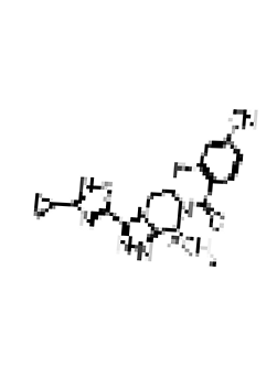 C[C@@H]1c2nnc(-c3nc(C4CC4)ns3)n2CCN1C(=O)c1ccc(C#N)cc1F